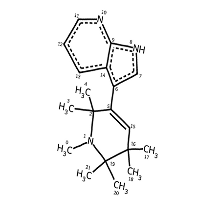 CN1C(C)(C)C(c2c[nH]c3ncccc23)=CC(C)(C)C1(C)C